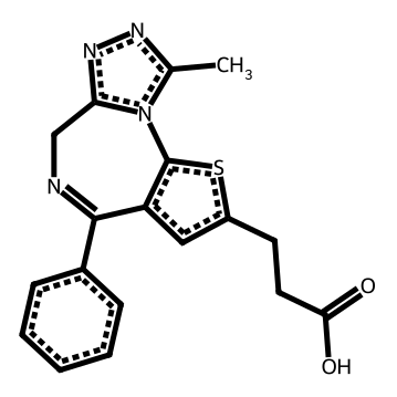 Cc1nnc2n1-c1sc(CCC(=O)O)cc1C(c1ccccc1)=NC2